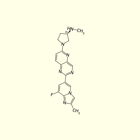 CN[C@@H]1CCN(c2ccc3nc(-c4cc(F)c5nc(C)cn5c4)ncc3n2)C1